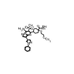 COCCOC1(C(=O)NO)CCC(c2nc3c(-c4cnn(-c5ccccc5)c4)cnn3c(N)c2S(C)(=O)=O)CC1